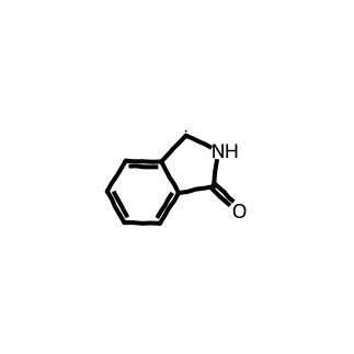 O=C1N[CH]c2ccccc21